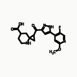 COc1cc(-c2cc(C(=O)C3CC34CC(C(=O)O)CCN4)n[nH]2)c(F)cn1